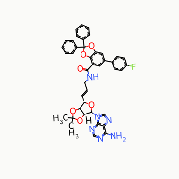 CC1(C)OC2[C@@H](/C=C/CNC(=O)c3cc(-c4ccc(F)cc4)cc4c3OC(c3ccccc3)(c3ccccc3)O4)O[C@@H](n3cnc4c(N)ncnc43)[C@H]2O1